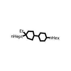 CCCCCCCC1(CC)CCC(C2CCC(CCCCCC)CC2)CC1